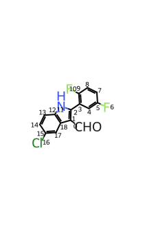 O=Cc1c(-c2cc(F)ccc2F)[nH]c2ccc(Cl)cc12